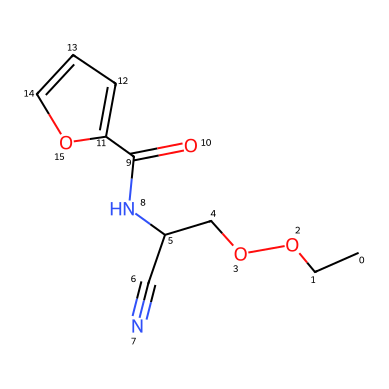 CCOOCC(C#N)NC(=O)c1ccco1